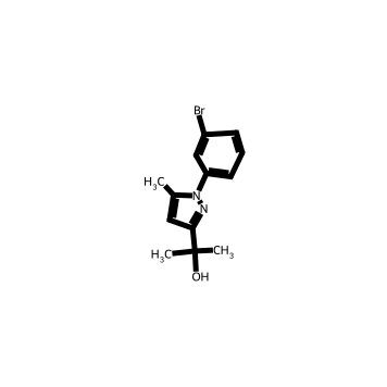 Cc1cc(C(C)(C)O)nn1-c1cccc(Br)c1